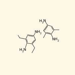 CCc1cc(N)cc(CC)c1N.Cc1cc(N)cc(C)c1N